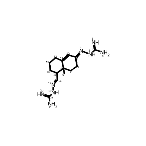 CC12CCC(=NNC(=N)N)C=C1CCCC2C=NNC(=N)N